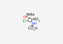 CNC(=O)c1cc([N+](=O)[O-])c(N[C@@H](C)CC(=O)O)cc1Cl